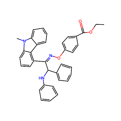 CCOC(=O)c1ccc(ON=C(c2cccc3c2c2ccccc2n3C)C(Nc2ccccc2)c2ccccc2)cc1